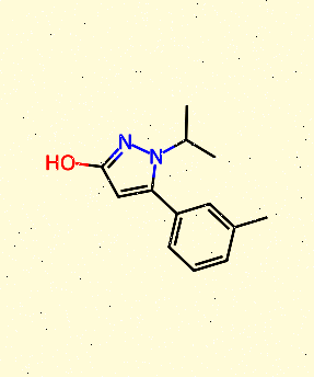 Cc1cccc(-c2cc(O)nn2C(C)C)c1